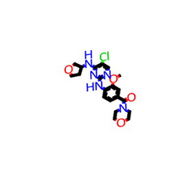 COc1cc(C(=O)N2CCOCC2)ccc1Nc1ncc(Cl)c(NC2CCOC2)n1